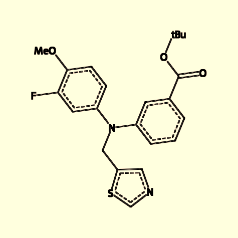 COc1ccc(N(Cc2cncs2)c2cccc(C(=O)OC(C)(C)C)c2)cc1F